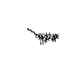 CCCCCCCOC(=O)[C@H](C)NP1(=O)OC[C@H]2O[C@@H](c3cnc4c(C)ncnn34)[C@](C)(F)[C@@H]2O1